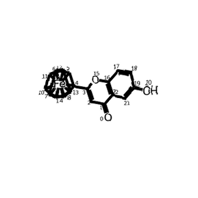 O=c1cc([C]23[CH]4[CH]5[CH]6[CH]2[Fe]56432789[CH]3[CH]2[CH]7[CH]8[CH]39)oc2ccc(O)cc12